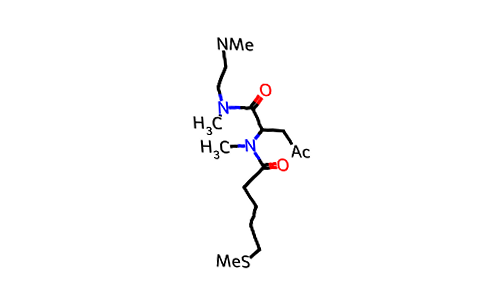 CNCCN(C)C(=O)C(CC(C)=O)N(C)C(=O)CCCCSC